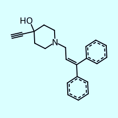 C#CC1(O)CCN(CC=C(c2ccccc2)c2ccccc2)CC1